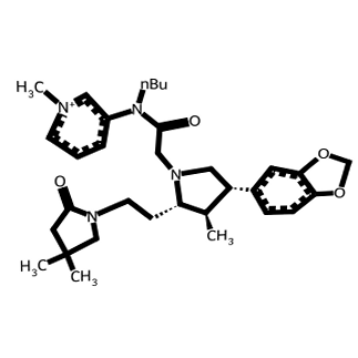 CCCCN(C(=O)CN1C[C@H](c2ccc3c(c2)OCO3)[C@@H](C)[C@@H]1CCN1CC(C)(C)CC1=O)c1ccc[n+](C)c1